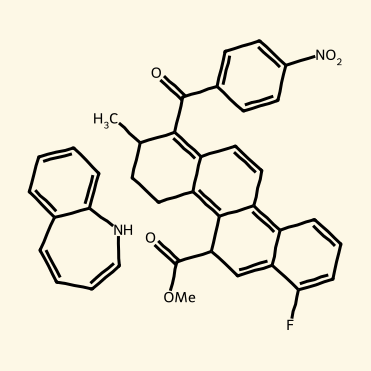 C1=CNc2ccccc2C=C1.COC(=O)C1C=c2c(F)cccc2=c2ccc3c(c21)CCC(C)C=3C(=O)c1ccc([N+](=O)[O-])cc1